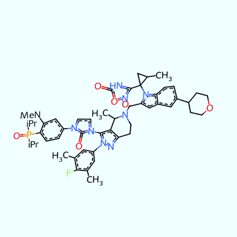 CNc1cc(-n2ccn(-c3c4c(nn3-c3cc(C)c(F)c(C)c3)CCN(C(=O)c3cc5cc(C6CCOCC6)ccc5n3C3(c5noc(=O)[nH]5)CC3C)C4C)c2=O)ccc1P(=O)(C(C)C)C(C)C